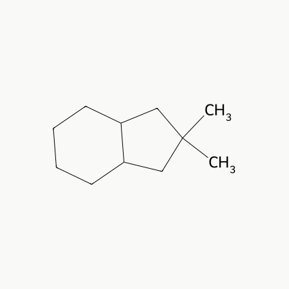 CC1(C)CC2CCCCC2C1